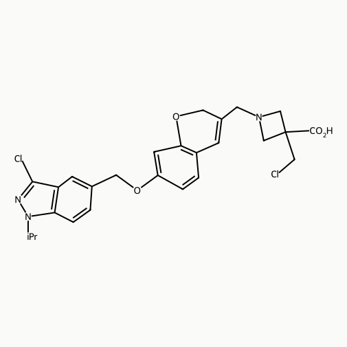 CC(C)n1nc(Cl)c2cc(COc3ccc4c(c3)OCC(CN3CC(CCl)(C(=O)O)C3)=C4)ccc21